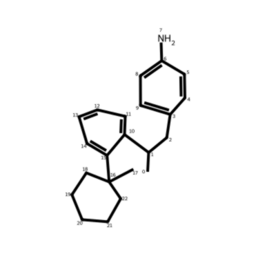 CC(Cc1ccc(N)cc1)c1ccccc1C1(C)CCCCC1